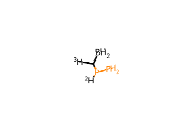 [2H]P(P)C([3H])B